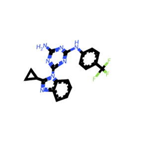 Nc1nc(Nc2ccc(C(F)(F)F)cc2)nc(-n2c(C3CC3)nc3ccccc32)n1